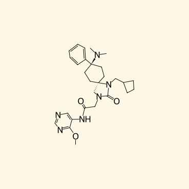 COc1ncncc1NC(=O)CN1C[C@]2(CC[C@](c3ccccc3)(N(C)C)CC2)N(CC2CCC2)C1=O